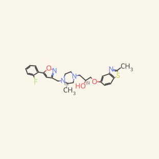 Cc1nc2cc(OC[C@@H](O)CN3CCN(Cc4cc(-c5ccccc5F)on4)[C@@H](C)C3)ccc2s1